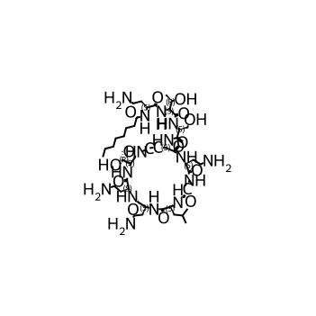 CCCCCCCC(=O)N[C@@H](CCN)C(=O)N[C@H](C(=O)N[C@@H](CO)C(=O)N[C@H]1CCNC(=O)[C@H]([C@@H](C)O)NC(=O)[C@H](CCN)NC(=O)[C@H](CCN)NC(=O)[C@H](CC(C)C)NC(=O)CNC(=O)[C@H](CCN)NC1=O)[C@@H](C)O